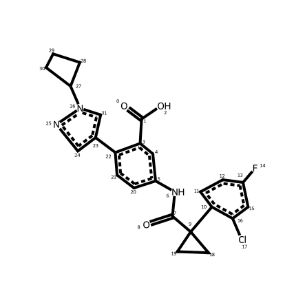 O=C(O)c1cc(NC(=O)C2(c3ccc(F)cc3Cl)CC2)ccc1-c1cnn(C2CCC2)c1